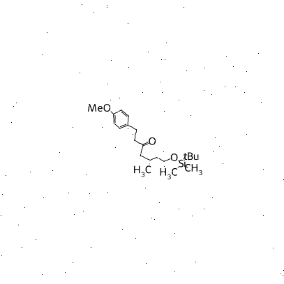 COc1ccc(CCC(=O)C[C@@H](C)CCO[Si](C)(C)C(C)(C)C)cc1